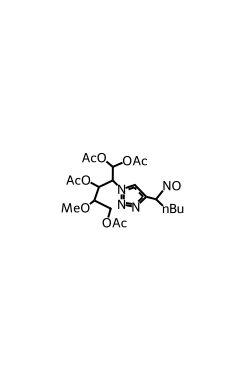 CCCCC(N=O)c1cn(C(C(OC(C)=O)OC(C)=O)C(OC(C)=O)C(COC(C)=O)OC)nn1